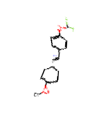 CCO[C@H]1CC[C@H](/C=C/c2ccc(OC(F)F)cc2)CC1